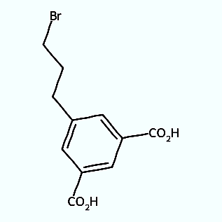 O=C(O)c1cc(CCCBr)cc(C(=O)O)c1